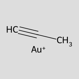 C#CC.[Au+]